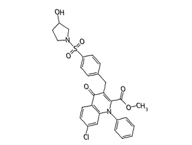 COC(=O)c1c(Cc2ccc(S(=O)(=O)N3CCC(O)C3)cc2)c(=O)c2ccc(Cl)cc2n1-c1ccccc1